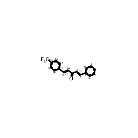 O=C(/C=C/c1ccccc1)/C=C/c1ccc(C(F)(F)F)cc1